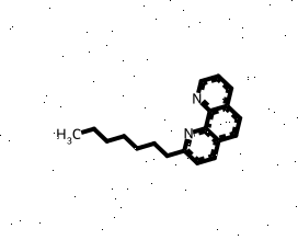 CCCCCCCc1ccc2ccc3cccnc3c2n1